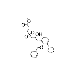 COC(=O)CCS(=O)(=O)CC(O)Cc1cccc(C2CCCC2)c1OCc1ccccc1